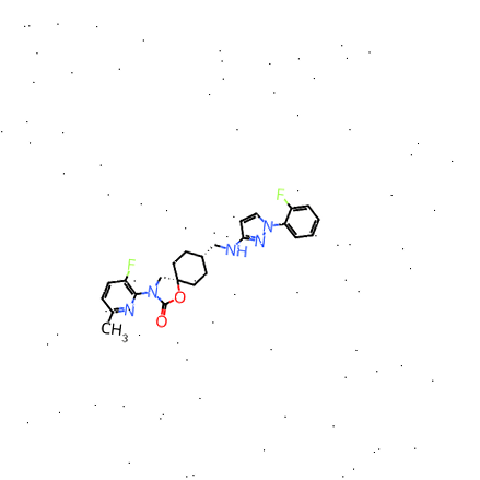 Cc1ccc(F)c(N2C[C@]3(CC[C@@H](CNc4ccn(-c5ccccc5F)n4)CC3)OC2=O)n1